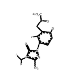 CCOC(=O)C(Cl)Cc1c(Cl)ccc(-n2nc(C)n(C(F)F)c2=O)c1F